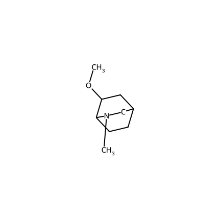 COC1CC2CCC1N(C)C2